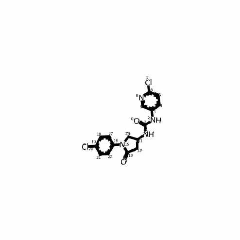 O=C(Nc1ccc(Cl)nc1)NC1CC(=O)N(c2ccc(Cl)cc2)C1